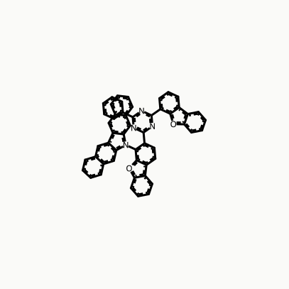 c1ccc(-c2nc(-c3ccc4c(oc5ccccc54)c3-n3c4cc5ccccc5cc4c4cc5ccccc5cc43)nc(-c3cccc4c3oc3ccccc34)n2)cc1